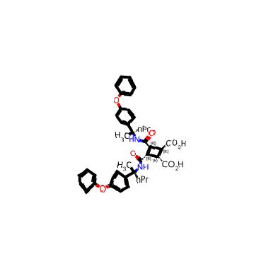 CCC[C@@](C)(NC(=O)[C@H]1[C@@H](C(=O)O)[C@H](C(=O)O)[C@@H]1C(=O)N[C@](C)(CCC)c1ccc(Oc2ccccc2)cc1)c1ccc(Oc2ccccc2)cc1